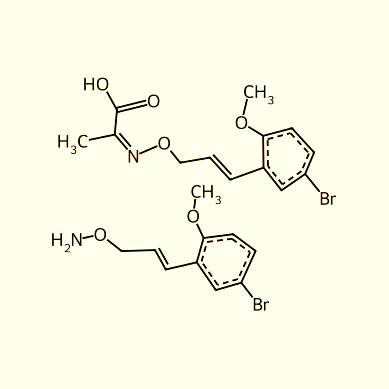 COc1ccc(Br)cc1/C=C/CO/N=C(/C)C(=O)O.COc1ccc(Br)cc1/C=C/CON